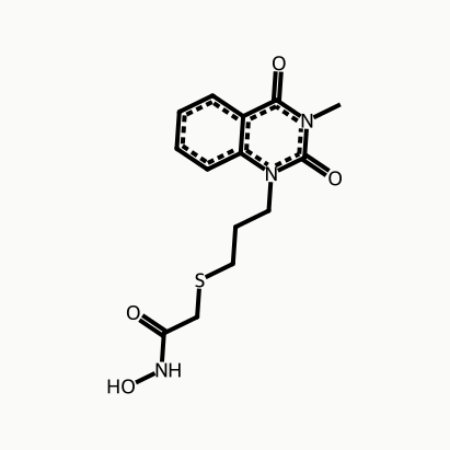 Cn1c(=O)c2ccccc2n(CCCSCC(=O)NO)c1=O